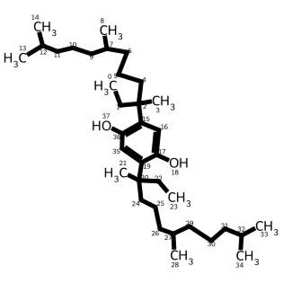 CCC(C)(CCCC(C)CCCC(C)C)c1cc(O)c(C(C)(CC)CCCC(C)CCCC(C)C)cc1O